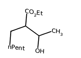 CCCCCCC(C(=O)OCC)C(C)O